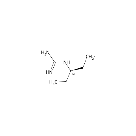 [CH2]C[C@@H](CC)NC(=N)N